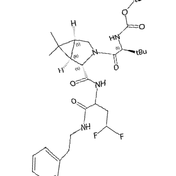 CC(C)(C)OC(=O)N[C@H](C(=O)N1C[C@H]2[C@@H]([C@H]1C(=O)NC(CC(F)F)C(=O)NCCc1ccccc1)C2(C)C)C(C)(C)C